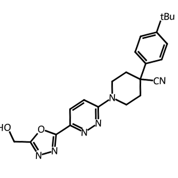 CC(C)(C)c1ccc(C2(C#N)CCN(c3ccc(-c4nnc(CO)o4)nn3)CC2)cc1